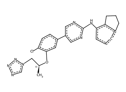 C[C@@H](Cn1cnnn1)Oc1cc(-c2cnc(Nc3cccc4c3CCC4)nc2)ccc1Cl